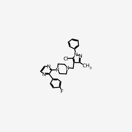 Cc1nn(-c2ccccc2)c(Cl)c1CN1CCN(c2nccnc2-c2ccc(F)cc2)CC1